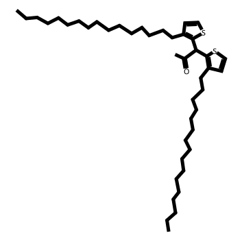 CCCCCCCCCCCCCCCCc1ccsc1C(C(C)=O)c1sccc1CCCCCCCCCCCCCCCC